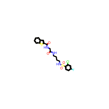 O=C(CNC(=O)c1cc2ccccc2s1)NCCCCNS(=O)(=O)c1ccc(F)cc1Cl